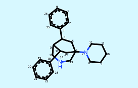 c1ccc(C2CC3(N4CCCCC4)CNCC2C(c2ccccc2)C3)cc1